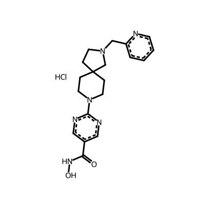 Cl.O=C(NO)c1cnc(N2CCC3(CCN(Cc4ccccn4)C3)CC2)nc1